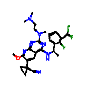 COc1nc2nc(N(C)CCN(C)C)nc(N[C@H](C)c3cccc(C(F)F)c3F)c2cc1C1(C#N)CC1